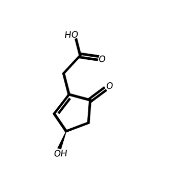 O=C(O)CC1=C[C@H](O)CC1=O